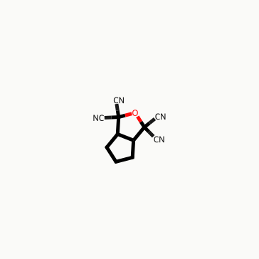 N#CC1(C#N)OC(C#N)(C#N)C2CCCC21